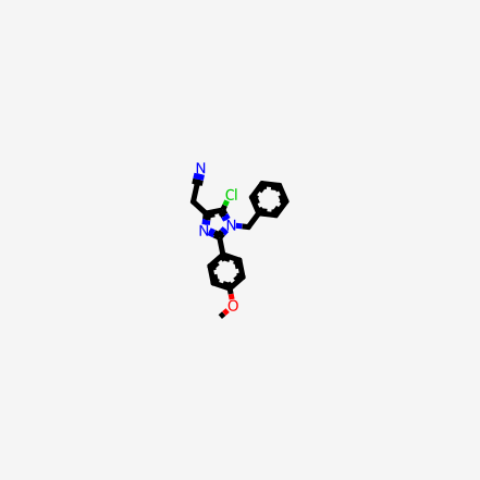 COc1ccc(-c2nc(CC#N)c(Cl)n2Cc2ccccc2)cc1